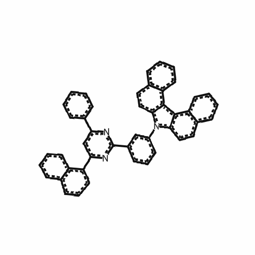 c1ccc(-c2cc(-c3cccc4ccccc34)nc(-c3cccc(-n4c5ccc6ccccc6c5c5c6ccccc6ccc54)c3)n2)cc1